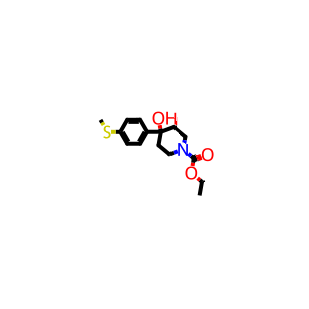 CCOC(=O)N1CCC(O)(c2ccc(SC)cc2)CC1